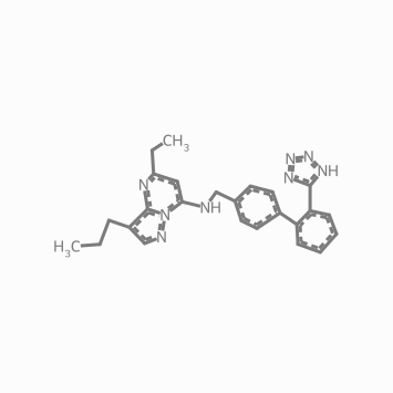 CCCc1cnn2c(NCc3ccc(-c4ccccc4-c4nnn[nH]4)cc3)cc(CC)nc12